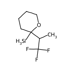 CC(C(F)(F)F)C1([SiH3])CCCCO1